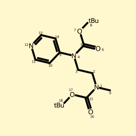 CN(CCN(C(=O)OC(C)(C)C)c1ccncc1)C(=O)OC(C)(C)C